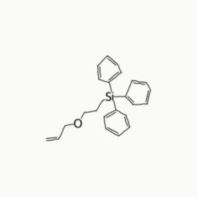 C=CCOCCC[Si](c1ccccc1)(c1ccccc1)c1ccccc1